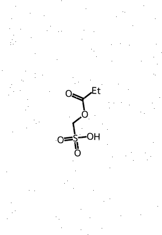 CCC(=O)OCS(=O)(=O)O